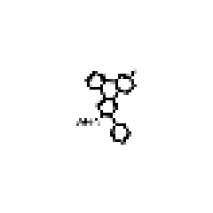 CNc1cc2c(cc1C1C=CC=CC1)c1c(c3ccccc32)C=C(C)CC1